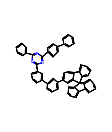 c1ccc(-c2ccc(-c3nc(-c4ccccc4)nc(-c4cccc(-c5cccc(-c6ccc7c(c6)C6(c8ccccc8-c8ccccc86)c6ccccc6-7)c5)c4)n3)cc2)cc1